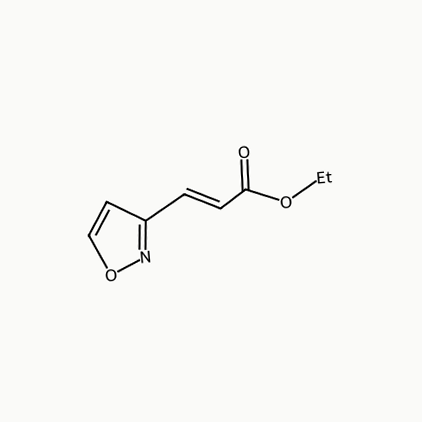 CCOC(=O)/C=C/c1ccon1